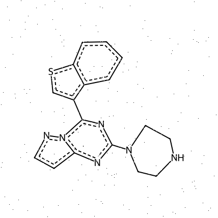 c1ccc2c(-c3nc(N4CCNCC4)nc4ccnn34)csc2c1